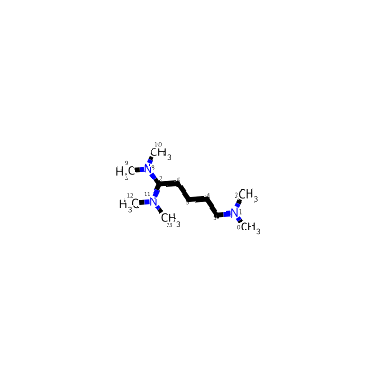 CN(C)CCCCC(N(C)C)N(C)C